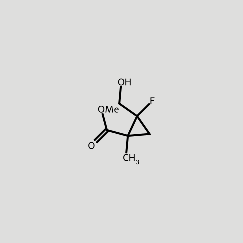 COC(=O)C1(C)CC1(F)CO